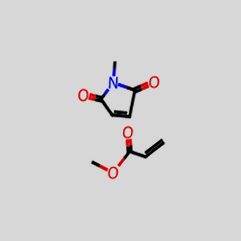 C=CC(=O)OC.CN1C(=O)C=CC1=O